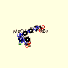 COc1cc(N2CCC(N3CCN(CC(=O)OC(C)(C)C)CC3)CC2)ccc1Nc1ncc(Cl)c(Nc2ccccc2N(C)S(C)(=O)=O)n1